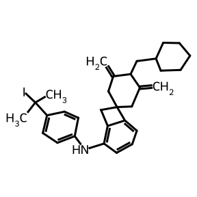 C=C1CC2(CC(=C)C1CC1CCCCC1)Cc1c(Nc3ccc(C(C)(C)I)cc3)cccc12